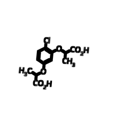 CC(Oc1ccc(Cl)c(OC(C)C(=O)O)c1)C(=O)O